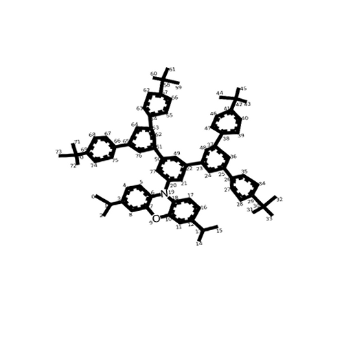 CC(C)c1ccc2c(c1)Oc1cc(C(C)C)ccc1N2c1cc(-c2cc(-c3ccc(C(C)(C)C)cc3)cc(-c3ccc(C(C)(C)C)cc3)c2)cc(-c2cc(-c3ccc(C(C)(C)C)cc3)cc(-c3ccc(C(C)(C)C)cc3)c2)c1